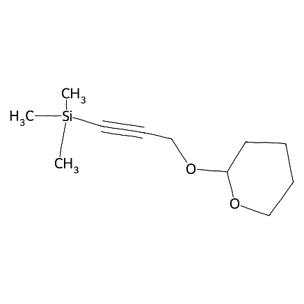 C[Si](C)(C)C#CCOC1CCCCO1